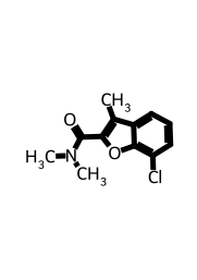 Cc1c(C(=O)N(C)C)oc2c(Cl)cccc12